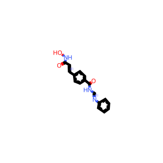 O=C(/C=C/c1ccc(C(=O)N/C=N/c2ccccc2)cc1)NO